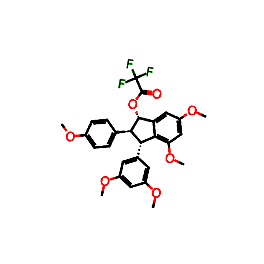 COc1ccc([C@@H]2[C@@H](c3cc(OC)cc(OC)c3)c3c(OC)cc(OC)cc3[C@H]2OC(=O)C(F)(F)F)cc1